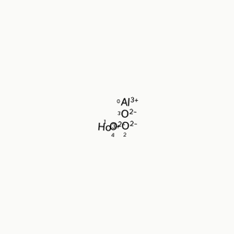 [Al+3].[Ho+3].[O-2].[O-2].[O-2]